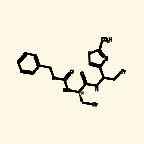 CC(C)CC(NC(=O)[C@H](CC(C)C)NC(=O)OCc1ccccc1)c1csc(C(=O)O)n1